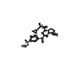 C[C@H](CO)n1cc(Nc2nc(N[C@H](C)C3CC3)c3cc[nH]c3n2)nn1